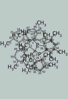 CCC(P(c1cccc(C)c1C)c1cccc(C)c1C)C(P(c1cccc(C)c1C)c1cccc(C)c1C)(P(c1cccc(C)c1C)c1cccc(C)c1C)P(c1cccc(C)c1C)c1cccc(C)c1C